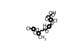 Cc1ccc(Oc2ccc(Cl)cc2Cl)c(CCNC(=O)c2ccc(Oc3cc4c(cc3Cl)C(C(=O)O)CCO4)cc2)c1